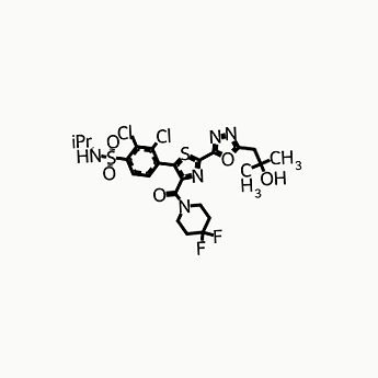 CC(C)NS(=O)(=O)c1ccc(-c2sc(-c3nnc(CC(C)(C)O)o3)nc2C(=O)N2CCC(F)(F)CC2)c(Cl)c1Cl